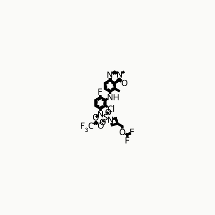 Cc1c(Nc2c(F)ccc(N(OC(=O)C(F)(F)F)S(=O)(=O)N3CC(COC(F)F)C3)c2Cl)ccc2ncn(C)c(=O)c12